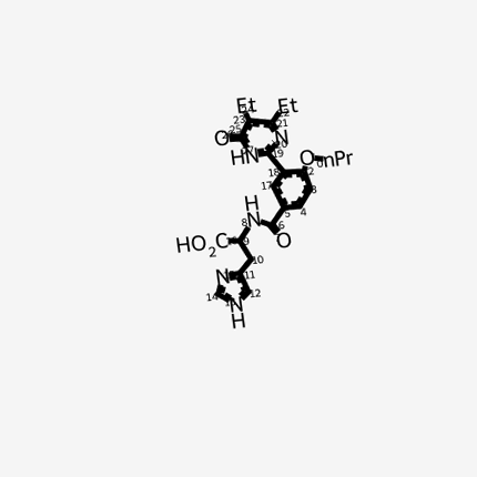 CCCOc1ccc(C(=O)NC(Cc2c[nH]cn2)C(=O)O)cc1-c1nc(CC)c(CC)c(=O)[nH]1